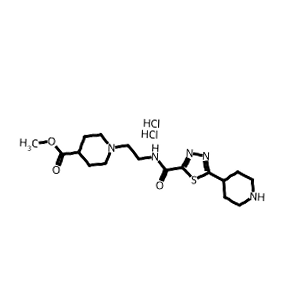 COC(=O)C1CCN(CCNC(=O)c2nnc(C3CCNCC3)s2)CC1.Cl.Cl